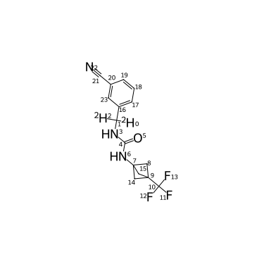 [2H]C([2H])(NC(=O)NC12CC(C(F)(F)F)(C1)C2)c1cccc(C#N)c1